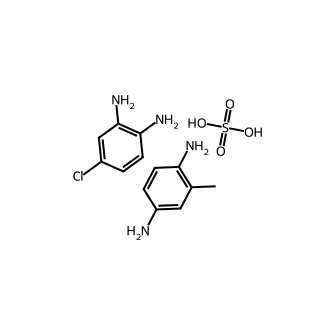 Cc1cc(N)ccc1N.Nc1ccc(Cl)cc1N.O=S(=O)(O)O